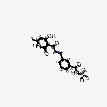 Cc1cc(O)c(C(=O)/C=C/c2cccc(C(=O)NS(C)(=O)=O)c2)c(=O)[nH]1